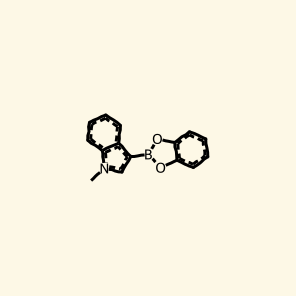 Cn1cc(B2Oc3ccccc3O2)c2ccccc21